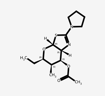 CC[C@H]1O[C@@H]2SC(N3CCCC3)=N[C@@H]2[C@@H](OC(C)=O)[C@H]1C